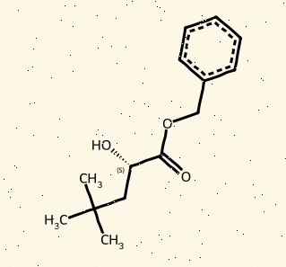 CC(C)(C)C[C@H](O)C(=O)OCc1ccccc1